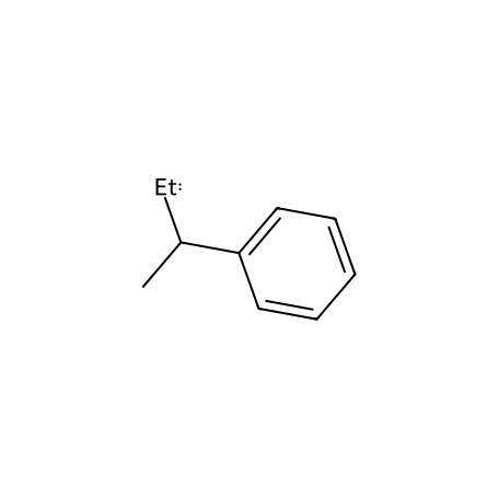 C[C]C(C)c1ccccc1